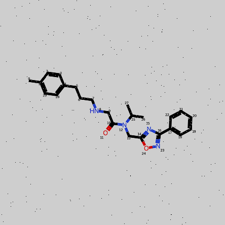 Cc1ccc(CCCNCC(=O)N(Cc2nc(-c3ccccc3)no2)C(C)C)cc1